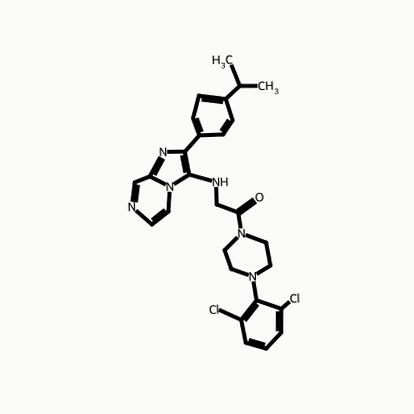 CC(C)c1ccc(-c2nc3cnccn3c2NCC(=O)N2CCN(c3c(Cl)cccc3Cl)CC2)cc1